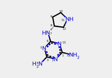 Nc1nc(N)nc(N[C@@H]2CCNC2)n1